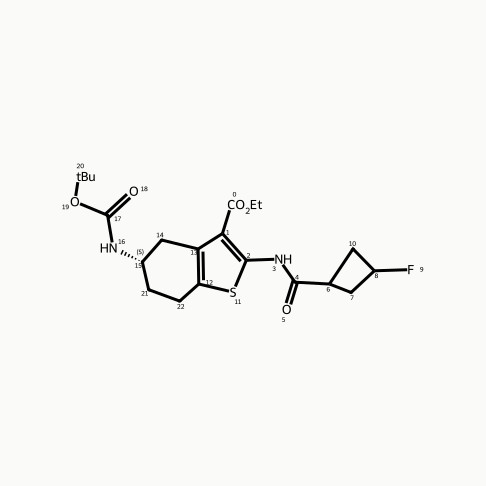 CCOC(=O)c1c(NC(=O)C2CC(F)C2)sc2c1C[C@@H](NC(=O)OC(C)(C)C)CC2